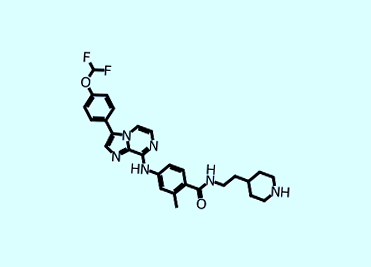 Cc1cc(Nc2nccn3c(-c4ccc(OC(F)F)cc4)cnc23)ccc1C(=O)NCCC1CCNCC1